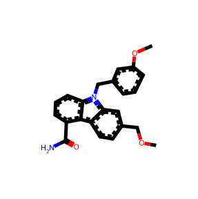 COCc1c[c]c2c3c(C(N)=O)cccc3n(Cc3cccc(OC)c3)c2c1